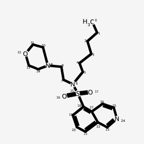 CCCCCCN(CCN1CCOCC1)S(=O)(=O)c1cccc2cnccc12